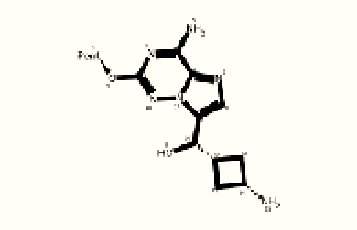 CCC[C@H](C)Oc1nc(N)c2ncc(C(O)[C@H]3C[C@@H](N)C3)n2n1